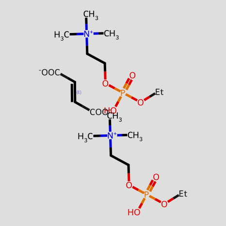 CCOP(=O)(O)OCC[N+](C)(C)C.CCOP(=O)(O)OCC[N+](C)(C)C.O=C([O-])/C=C/C(=O)[O-]